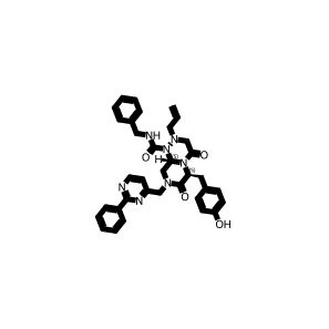 C=CCN1CC(=O)N2[C@@H](Cc3ccc(O)cc3)C(=O)N(Cc3ccnc(-c4ccccc4)n3)C[C@@H]2N1C(=O)NCc1ccccc1